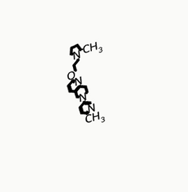 Cc1ccc(N2CCc3nc(OCCCN4CCC[C@H]4C)ccc3C2)cn1